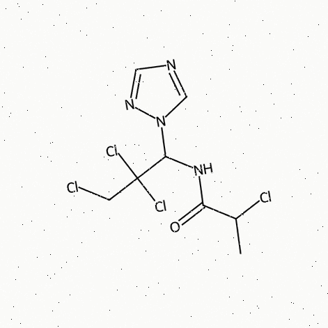 CC(Cl)C(=O)NC(n1cncn1)C(Cl)(Cl)CCl